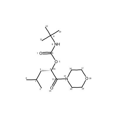 CC(C)C[C@H](OC(=O)NC(C)(C)C)C(=O)N1CCOCC1